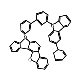 C1=CCC(c2ccc3c(c2)c2ccccc2n3-c2cccc(-c3cccc(-n4c5ccccc5c5c6oc7ccccc7c6ccc54)c3)c2)C=C1